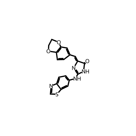 O=C1NC(Nc2ccc3ncsc3c2)=N/C1=C\c1ccc2c(c1)OCCO2